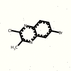 Cc1nc2cc(Br)ccc2nc1Cl